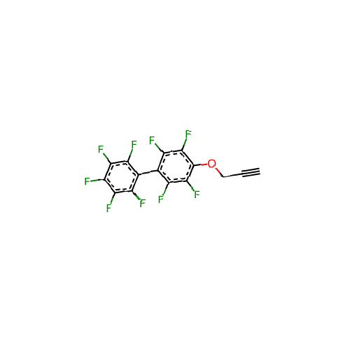 C#CCOc1c(F)c(F)c(-c2c(F)c(F)c(F)c(F)c2F)c(F)c1F